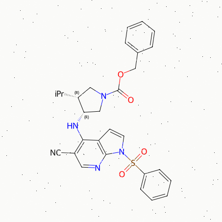 CC(C)[C@@H]1CN(C(=O)OCc2ccccc2)C[C@@H]1Nc1c(C#N)cnc2c1ccn2S(=O)(=O)c1ccccc1